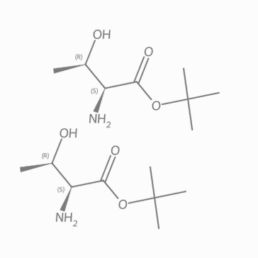 C[C@@H](O)[C@H](N)C(=O)OC(C)(C)C.C[C@@H](O)[C@H](N)C(=O)OC(C)(C)C